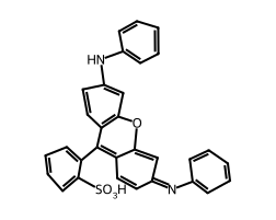 O=S(=O)(O)c1ccccc1-c1c2cc/c(=N/c3ccccc3)cc-2oc2cc(Nc3ccccc3)ccc12